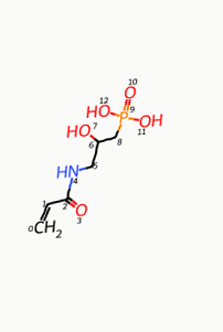 C=CC(=O)NCC(O)CP(=O)(O)O